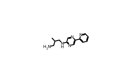 CC(CN)CNc1cnc(-c2ccccn2)cn1